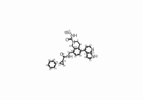 CC(C)(C)NC(=O)N1CCc2c(-c3ccnc4[nH]ccc34)ccc(CNC(=O)C3C[C@@H]3c3ccccc3)c2C1